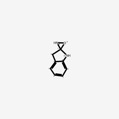 c1ccc2c(c1)CC1(NO1)N2